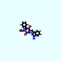 CC(C)(C)OC(=O)NC(Cc1c[nH]c2ccccc12)C(=O)Nc1ccccc1